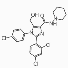 O=C(NN1CCCCC1)c1nc(-c2ccc(Cl)cc2Cl)n(-c2ccc(Cl)cc2)c1CO